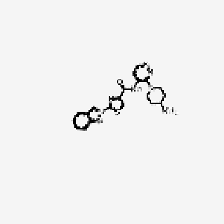 NC1CCN(c2nnccc2NC(=O)c2csc(-n3cc4ccccc4n3)n2)CC1